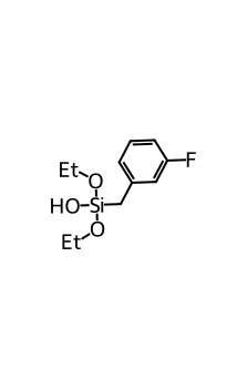 CCO[Si](O)(Cc1cccc(F)c1)OCC